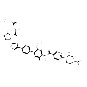 COC(=O)N[C@H](C(=O)N1CCC[C@H]1c1nc(-c2ccc(-c3cc(Cl)c(NC(=O)c4ccc(N5CCN(C(=O)C(C)(C)C)C[C@H]5C)nc4)cc3OC(F)(F)F)cc2)c[nH]1)C(C)C